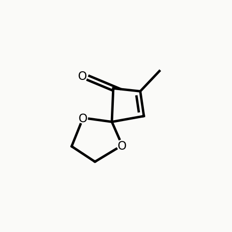 CC1=CC2(OCCO2)C1=O